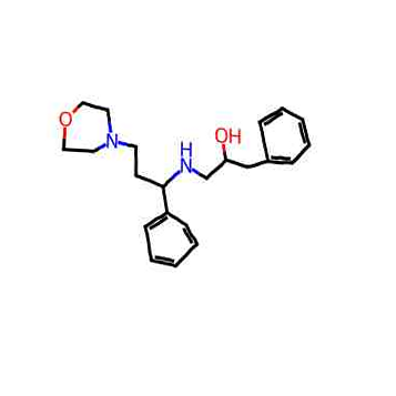 OC(CNC(CCN1CCOCC1)c1ccccc1)Cc1ccccc1